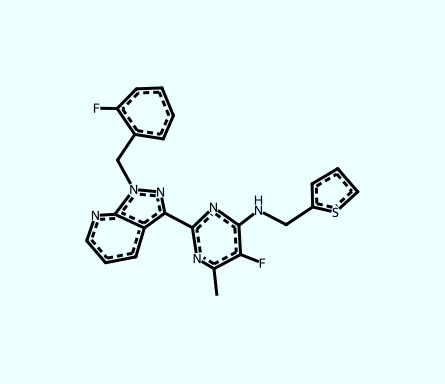 Cc1nc(-c2nn(Cc3ccccc3F)c3ncccc23)nc(NCc2cccs2)c1F